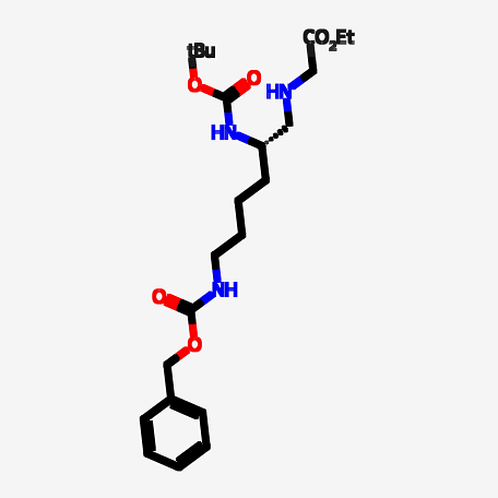 CCOC(=O)CNC[C@H](CCCCNC(=O)OCc1ccccc1)NC(=O)OC(C)(C)C